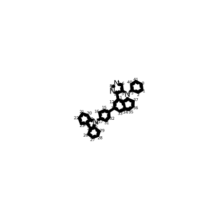 c1ccc(N2c3cncnc3-c3cc(-c4ccc(-n5c6ccccc6c6ccccc65)cc4)cc4cccc2c34)cc1